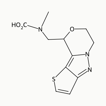 CN(CC1OCCn2nc3ccsc3c21)C(=O)O